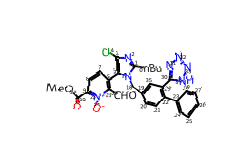 CCCCc1nc(Cl)c(-c2ccc(C(=O)OC)[n+]([O-])c2C=O)n1Cc1ccc(-c2ccccc2)c(-c2nnn[nH]2)c1